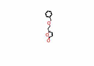 O=C1C=C[C@H](CCOCc2ccccc2)O1